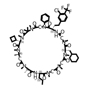 CC[C@H](C)[C@@H]1NC(=O)[C@H](C)N(C)C(=O)C[C@@H](C)N(C)C(=O)[C@H](C2CCC2)N(C)C(=O)C(C)(C)N(C)C(=O)CN(c2ccccc2)C(=O)[C@H](CCc2ccc(C(F)(F)F)c(Cl)c2)NC(=O)CN(C)C(=O)[C@H](CC2CCCCC2)N(C)C(=O)CN(C)C(=O)CN(C)C1=O